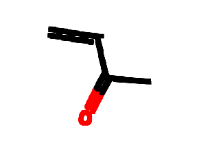 C=[C]C(C)=O